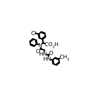 Cc1cccc(NC(=O)NCC(=O)N(c2ccccc2)C(C(=O)O)c2cccc(Cl)c2)c1